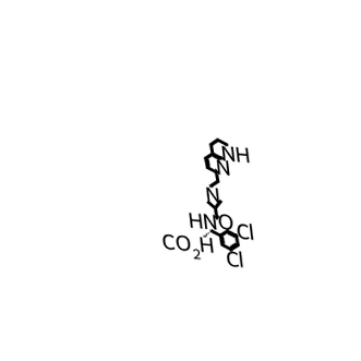 O=C(O)C[C@H](NC(=O)C1CN(CCc2ccc3c(n2)NCCC3)C1)c1cc(Cl)cc(Cl)c1